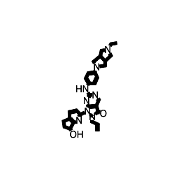 C=CCn1c(=O)c2cnc(Nc3ccc(N4CC5CN(CC)CC5C4)cc3)nc2n1-c1ccc2c(n1)C(O)CC2